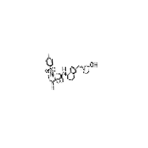 Cc1ccc(S(=O)(=O)N2CCNC(=O)[C@H]2CC(=O)N[C@@H]2CCCc3cc(CN4CCC[C@@H](O)C4)ccc32)cc1